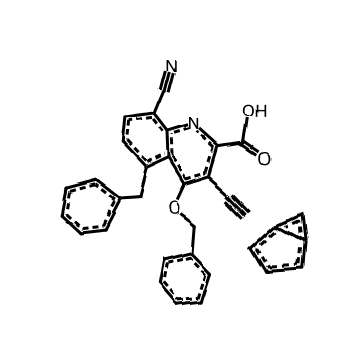 C#Cc1c(C(=O)O)nc2c(C#N)ccc(Cc3ccccc3)c2c1OCc1ccccc1.c1cc2cc-2c1